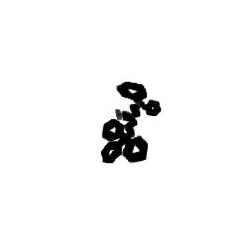 c1ccc(P(CCNCCSC(c2ccccc2)(c2ccccc2)c2ccccc2)c2ccccc2)cc1